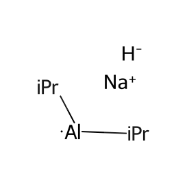 C[CH](C)[Al][CH](C)C.[H-].[Na+]